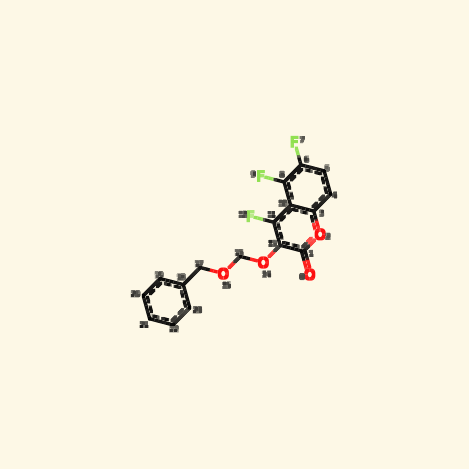 O=c1oc2ccc(F)c(F)c2c(F)c1OCOCc1ccccc1